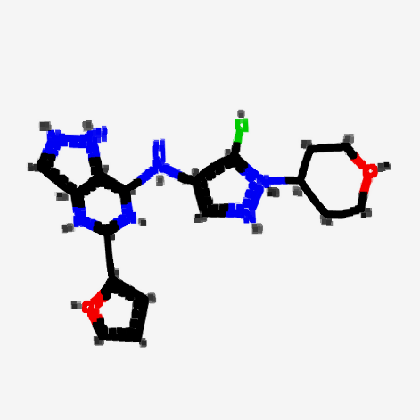 Clc1c(Nc2nc(-c3ccco3)nc3cn[nH]c23)cnn1C1CCOCC1